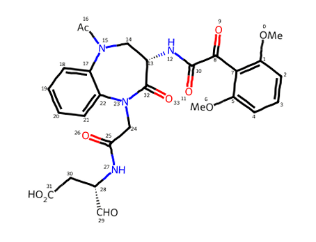 COc1cccc(OC)c1C(=O)C(=O)N[C@H]1CN(C(C)=O)c2ccccc2N(CC(=O)N[C@H](C=O)CC(=O)O)C1=O